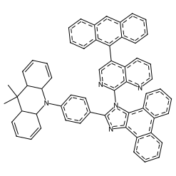 CC1(C)C2C=CC=CC2N(c2ccc(-c3nc4c5ccccc5c5ccccc5c4n3-c3ncc(-c4c5ccccc5cc5ccccc45)c4cccnc34)cc2)C2C=CC=CC21